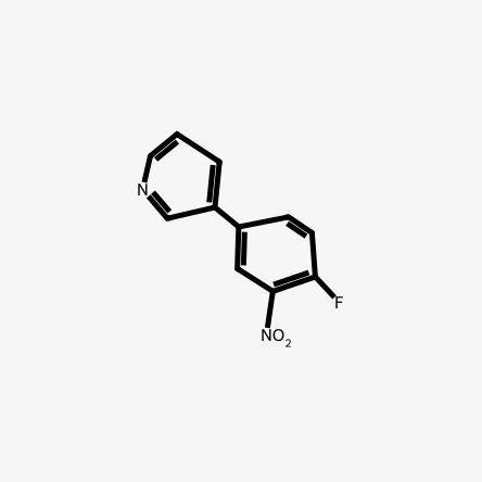 O=[N+]([O-])c1cc(-c2cccnc2)ccc1F